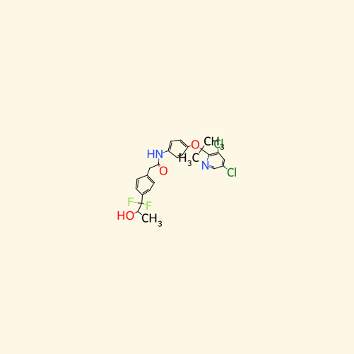 CC(O)C(F)(F)c1ccc(CC(=O)Nc2ccc(OC(C)(C)c3ncc(Cl)cc3Cl)cc2)cc1